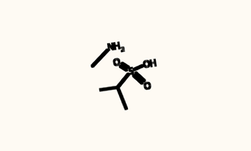 CC(C)S(=O)(=O)O.CN